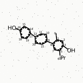 Cc1cc(O)c(C(C)C)cc1-c1ccc(-c2ccc(O)cc2)cc1